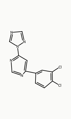 Clc1ccc(-c2cc(-n3cncn3)ncn2)cc1Cl